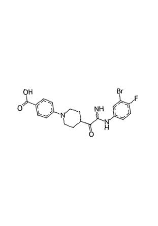 N=C(Nc1ccc(F)c(Br)c1)C(=O)C1CCN(c2ccc(C(=O)O)cc2)CC1